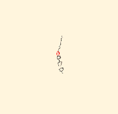 CCCCCCCCCCOc1ccc(C2=CCC([C@H]3CC[C@H](C)CC3)C=C2)cc1